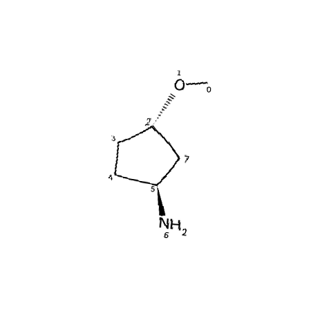 CO[C@H]1CC[C@H](N)C1